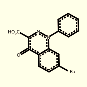 CC(C)(C)c1ccc2c(=O)c(C(=O)O)nn(-c3ccccc3)c2c1